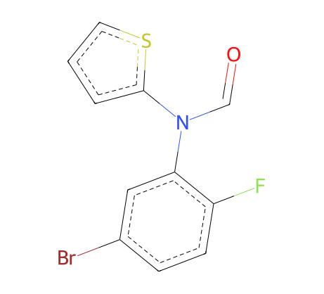 O=CN(c1cccs1)c1cc(Br)ccc1F